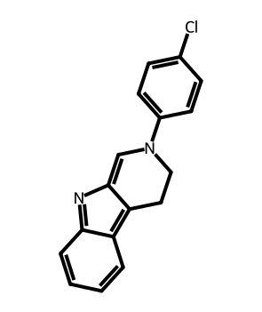 Clc1ccc(N2C=C3N=c4ccccc4=C3CC2)cc1